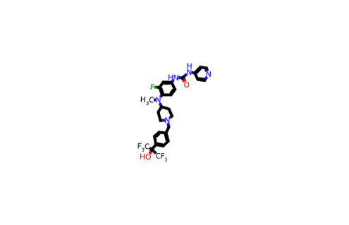 CN(c1ccc(NC(=O)Nc2ccncc2)cc1F)C1CCN(Cc2ccc(C(O)(C(F)(F)F)C(F)(F)F)cc2)CC1